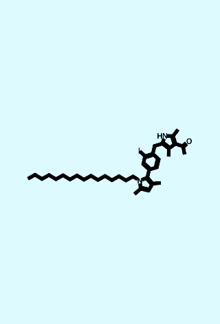 CCCCCCCCCCCCCCCCn1c(C)cc(C)c1-c1ccc(Cc2[nH]c(C)c(C(C)=O)c2C)c(I)c1